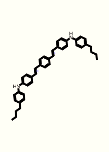 CCCCc1ccc(Nc2ccc(/C=C/c3ccc(/C=C/c4ccc(Nc5ccc(CCCC)cc5)cc4)cc3)cc2)cc1